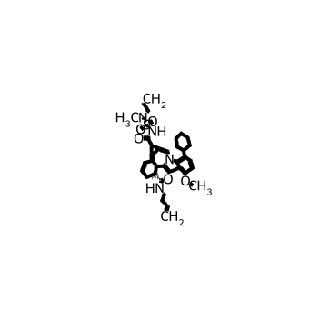 C=CCCNC(=O)[C@@H]1CC=CC2=C3C(=Cn4c(cc5c(OC)ccc(C6CCCCC6)c54)C21)C3C(=O)NS(=O)(=O)N(C)CC=C